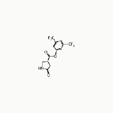 O=C1CC(C(=O)Oc2cc(C(F)(F)F)cc(C(F)(F)F)c2)CN1